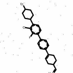 C=CC1CC=C(c2ccc(-c3ccc(C4CCC(CC)CC4)c(Cl)c3F)cc2)CC1